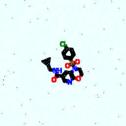 O=C(NCC1CC1)c1cnc2c(c1)N(S(=O)(=O)c1ccc(Cl)cc1)CCO2